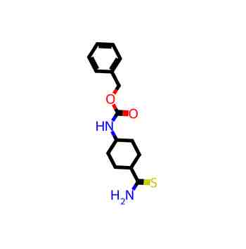 NC(=S)C1CCC(NC(=O)OCc2ccccc2)CC1